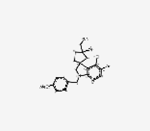 COc1ccc(CN2CC3(CCC(O)(CC#N)C3)c3c2ncc(Br)c3Cl)cc1